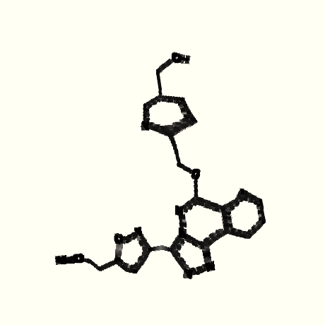 COCc1cc(-c2nnc3c4ccccc4c(OCc4ccc(CO)cn4)nn23)no1